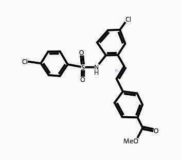 COC(=O)c1ccc(/C=C/c2cc(Cl)ccc2NS(=O)(=O)c2ccc(Cl)cc2)cc1